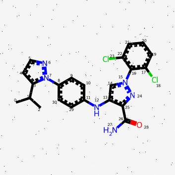 CC(C)c1ccnn1-c1ccc(Nc2cn(-c3c(Cl)cccc3Cl)nc2C(N)=O)cc1